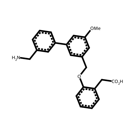 COc1cc(COc2ccccc2CC(=O)O)cc(-c2cccc(CN)c2)c1